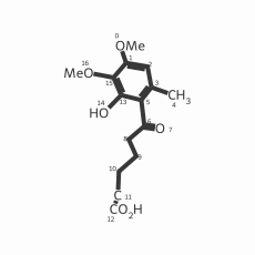 COc1cc(C)c(C(=O)CCCCC(=O)O)c(O)c1OC